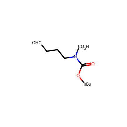 CCCCOC(=O)N(CCCC=O)C(=O)O